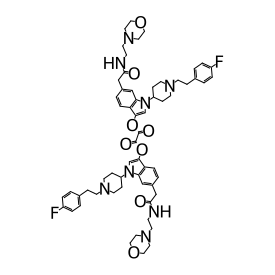 O=C(Cc1ccc2c(OC(=O)C(=O)Oc3cn(C4CCN(CCc5ccc(F)cc5)CC4)c4cc(CC(=O)NCCN5CCOCC5)ccc34)cn(C3CCN(CCc4ccc(F)cc4)CC3)c2c1)NCCN1CCOCC1